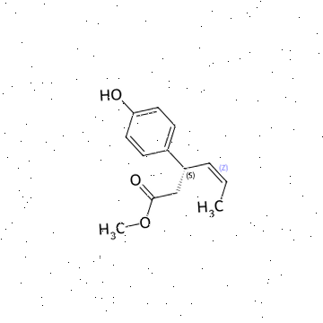 C/C=C\[C@H](CC(=O)OC)c1ccc(O)cc1